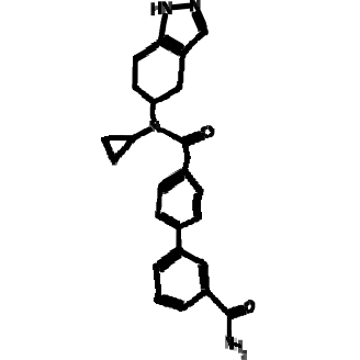 NC(=O)c1cccc(-c2ccc(C(=O)N(C3CC3)C3CCc4[nH]ncc4C3)cc2)c1